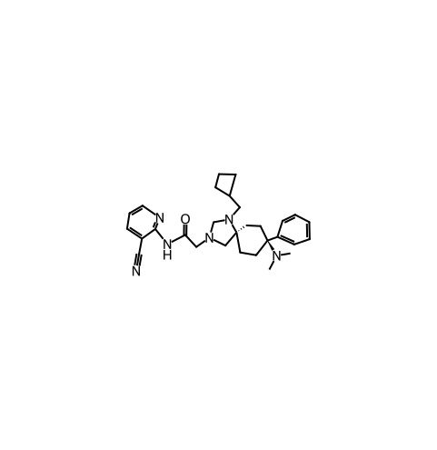 CN(C)[C@]1(c2ccccc2)CC[C@]2(CC1)CN(CC(=O)Nc1ncccc1C#N)CN2CC1CCC1